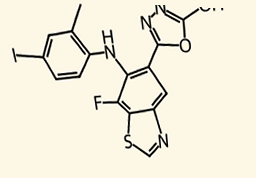 Cc1cc(I)ccc1Nc1c(-c2nnc(O)o2)cc2ncsc2c1F